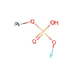 CC(C)OP(=O)(O)OF